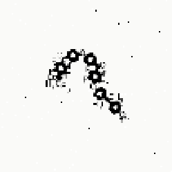 CCC(C)(C)c1c(F)c(F)c(C(=O)c2ccc(Oc3ccc(C(=O)c4c(F)c(F)c(Oc5ccc(C(C)(C)c6ccc(OC(C)C)cc6)cc5)c(F)c4F)cc3)cc2)c(F)c1F